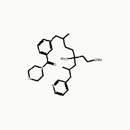 COCCC(CCC(C)Cc1cccc(C(=O)N2CCOCC2)c1)(CC(C)Cc1cccnc1)OC